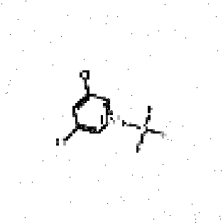 Clc1c[nH+]cc(Cl)c1.F[B-](F)(F)F